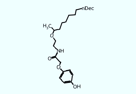 CCCCCCCCCCCCCCCCC(C)OCCNC(=O)COc1ccc(O)cc1